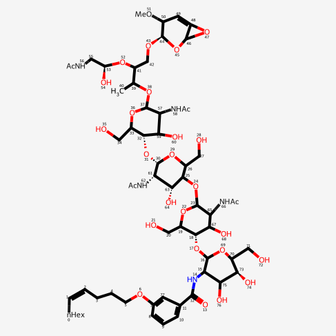 CCCCCC/C=C\CCCOc1cccc(C(=O)NC2C(O[C@@H]3C(CO)OC(OC4C(CO)O[C@@H](O[C@@H]5C(CO)OC(OC(C)C(CO[C@@H]6OC7OC7=CC6OC)O[C@@H](O)CNC(C)=O)C(NC(C)=O)C5O)[C@@H](NC(C)=O)[C@H]4O)C(NC(C)=O)C3O)OC(CO)[C@@H](O)C2O)c1